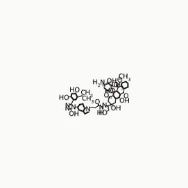 COc1cccc2c1C(=O)c1c(O)c3c(c(O)c1C2=O)C[C@@](O)(C(CO)=NNC(=O)CCn1ccc2cc(-n4c(O)nnc4-c4cc(C(C)C)c(O)cc4O)ccc21)C[C@@H]3O[C@H]1C[C@H](N)[C@H](O)[C@H](C)O1